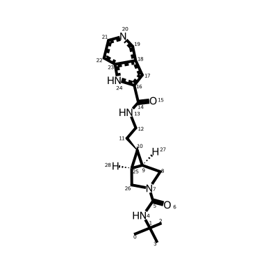 CC(C)(C)NC(=O)N1C[C@@H]2[C@H](CCNC(=O)c3cc4cnccc4[nH]3)[C@@H]2C1